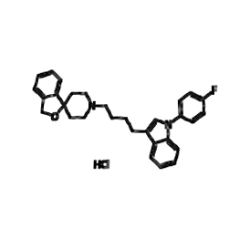 Cl.Fc1ccc(-n2cc(CCCCN3CCC4(CC3)OCc3ccccc34)c3ccccc32)cc1